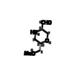 COC[C@@H]1CNC(C=O)CO1